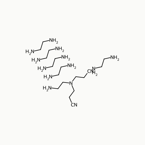 N#CCCN(CCN)CCC#N.NCCN.NCCN.NCCN.NCCN.NCCN